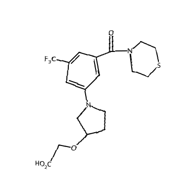 O=C(O)COC1CCN(c2cc(C(=O)N3CCSCC3)cc(C(F)(F)F)c2)C1